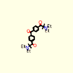 CCN(CC)C(C)(C)C(=O)c1ccc(C(=O)c2ccc(C(=O)C(C)(C)N(CC)CC)cc2)cc1